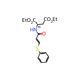 CCOC(=O)C[C@@H](NC(=O)C=CSc1ccccc1)C(=O)OCC